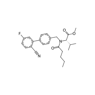 CCCCC(=O)N(Cc1ccc(-c2cc(F)ccc2C#N)cc1)[C@H](C(=O)OC)C(C)C